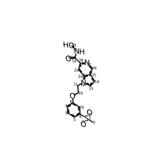 CS(=O)(=O)c1cccc(OCCn2ccc3cnc(C(=O)NO)cc32)c1